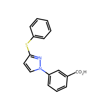 O=C(O)c1cccc(-n2ccc(Sc3ccccc3)n2)c1